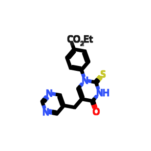 CCOC(=O)c1ccc(-n2cc(Cc3cncnc3)c(=O)[nH]c2=S)cc1